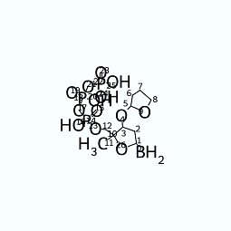 BC1CC(OC2CCCO2)C(C)(COP(=O)(O)OP(=O)(O)OP(=O)(O)O)O1